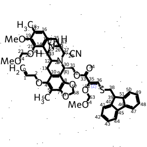 C=CCOc1c(C)c2c(c3c1CC1[C@H]4c5c(cc(C)c(OC)c5OCOC)C[C@@H]([C@H](C#N)N1[C@H]3COC(=O)/C(=C/SCC1c3ccccc3-c3ccccc31)OCOC)N4C)OCO2